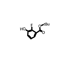 CC(C)(C)OC(=O)c1cccc(O)c1F